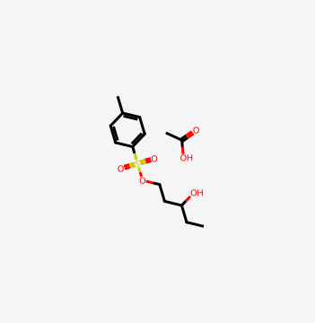 CC(=O)O.CCC(O)CCOS(=O)(=O)c1ccc(C)cc1